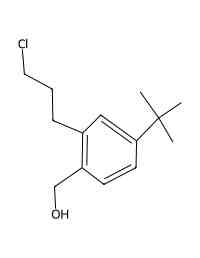 CC(C)(C)c1ccc(CO)c(CCCCl)c1